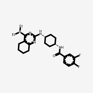 CCN(CC)c1nc(N[C@H]2CC[C@@H](NC(=O)c3ccc(F)c(F)c3)CC2)nc2c1CCCC2